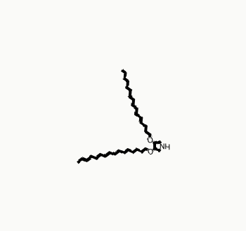 CCCCCCCCCCCCCCCCO[C@@H]1CNC[C@H]1OCCCCCCCCCCCCCCCC